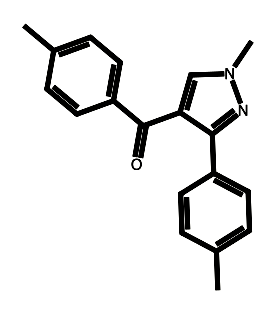 Cc1ccc(C(=O)c2cn(C)nc2-c2ccc(C)cc2)cc1